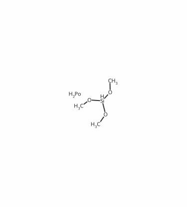 CO[SiH](OC)OC.[PoH2]